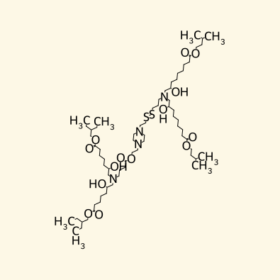 CCC(CC)COC(=O)CCCCC(O)CN(CCCC(=O)OCCN1CCN(CCSSCCCN(CC(O)CCCCCCC(=O)OCCC(C)C)CC(O)CCCCCCC(=O)OCCC(C)C)CC1)CC(O)CCCCC(=O)OCC(CC)CC